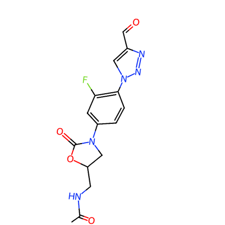 CC(=O)NCC1CN(c2ccc(-n3cc(C=O)nn3)c(F)c2)C(=O)O1